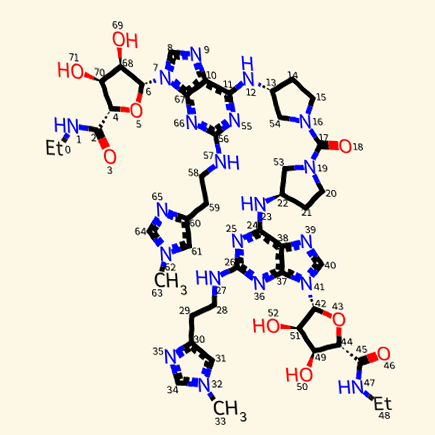 CCNC(=O)[C@H]1O[C@@H](n2cnc3c(N[C@@H]4CCN(C(=O)N5CC[C@@H](Nc6nc(NCCc7cn(C)cn7)nc7c6ncn7[C@@H]6O[C@H](C(=O)NCC)[C@@H](O)[C@H]6O)C5)C4)nc(NCCc4cn(C)cn4)nc32)[C@H](O)[C@@H]1O